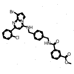 COC(=O)c1cccc(C(=O)NCc2ccc(CNc3cc(-c4ccccc4Cl)nc4c(Br)ccn34)cc2)c1